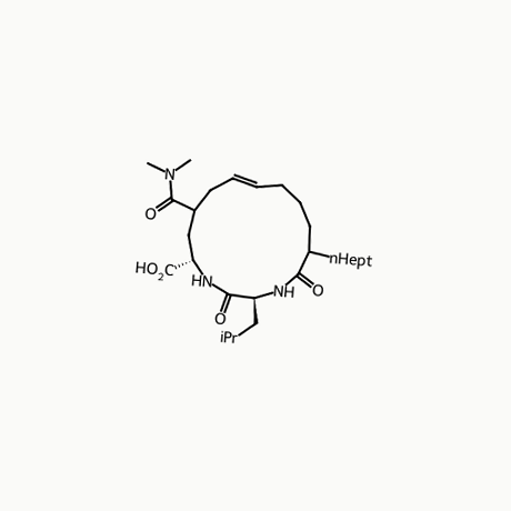 CCCCCCCC1CCC/C=C/CC(C(=O)N(C)C)C[C@@H](C(=O)O)NC(=O)[C@H](CC(C)C)NC1=O